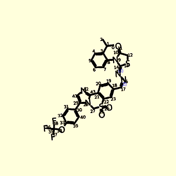 CC(C)c1ccccc1N1C(=O)CS/C1=N\N=C/c1ccc2c(c1)S(=O)(=O)Cn1c(-c3ccc(OC(F)(F)F)cc3)cnc1-2